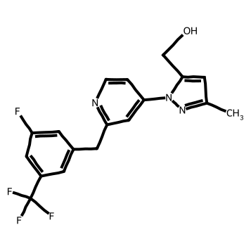 Cc1cc(CO)n(-c2ccnc(Cc3cc(F)cc(C(F)(F)F)c3)c2)n1